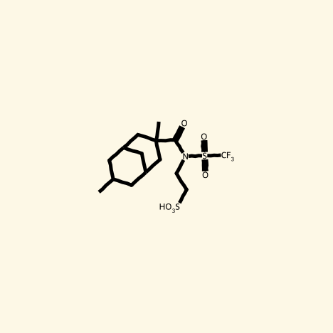 CC1CC2CC(C1)CC(C)(C(=O)N(CCS(=O)(=O)O)S(=O)(=O)C(F)(F)F)C2